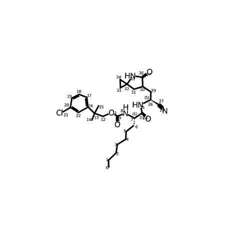 CCCCCCC[C@H](NC(=O)OCC(C)(C)c1cccc(Cl)c1)C(=O)N[C@H](C#N)CC1CC2(CC2)NC1=O